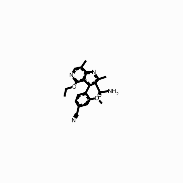 CCOc1ncc(C)c2nc(C)c(C(N)=O)c(-c3ccc(C#N)cc3OC)c12